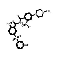 CN1CCN(c2ccc(C(=O)Nc3n[nH]c4ccc(S(=O)(=O)c5cccc(F)c5)cc34)c([N+](=O)[O-])c2)CC1